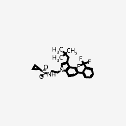 CC(C)(C)Cc1cn(CCNS(=O)(=O)C2CC2)c2ccc(-c3ccccc3C(F)(F)F)cc12